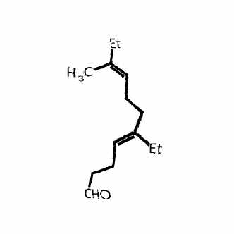 CCC(C)=CCCC(=CCCC=O)CC